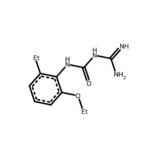 CCOc1cccc(CC)c1NC(=O)NC(=N)N